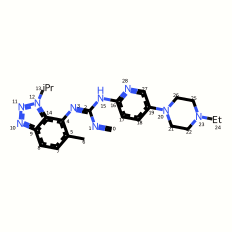 C=N/C(=N\c1c(C)ccc2nnn(C(C)C)c12)Nc1ccc(N2CCN(CC)CC2)cn1